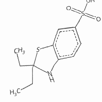 CCC1(CC)Nc2ccc(S(=O)(=O)O)cc2S1